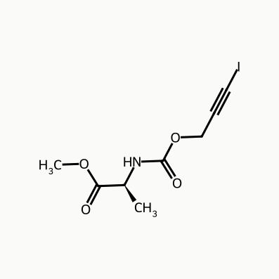 COC(=O)[C@H](C)NC(=O)OCC#CI